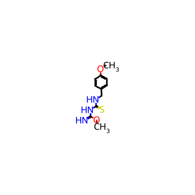 COC(=N)NC(=S)NCc1ccc(OC)cc1